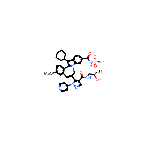 COc1ccc2c(c1)C=C(c1c(C(=O)NC[C@@H](C)O)cnn1-c1ccncc1)Cn1c-2c(C2CCCCC2)c2ccc(C(=O)NS(=O)(=O)C(C)C)cc21